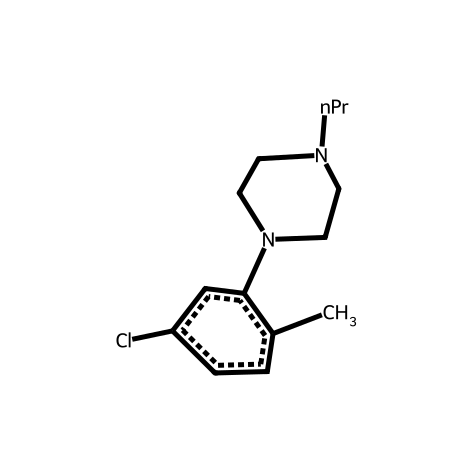 C[CH]CN1CCN(c2cc(Cl)ccc2C)CC1